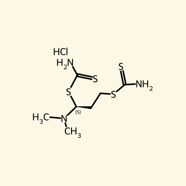 CN(C)[C@H](CCSC(N)=S)SC(N)=S.Cl